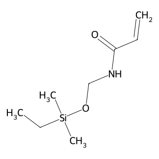 C=CC(=O)NCO[Si](C)(C)CC